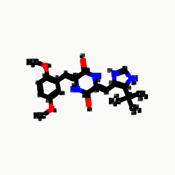 COc1ccc(OC)c(/C=c2\[nH]c(=O)/c(=C/c3nc[nH]c3C(C)(C)C)[nH]c2=O)c1